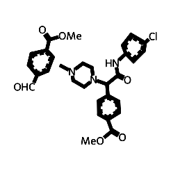 COC(=O)c1ccc(C(C(=O)Nc2ccc(Cl)cc2)N2CCN(C)CC2)cc1.COC(=O)c1ccc(C=O)cc1